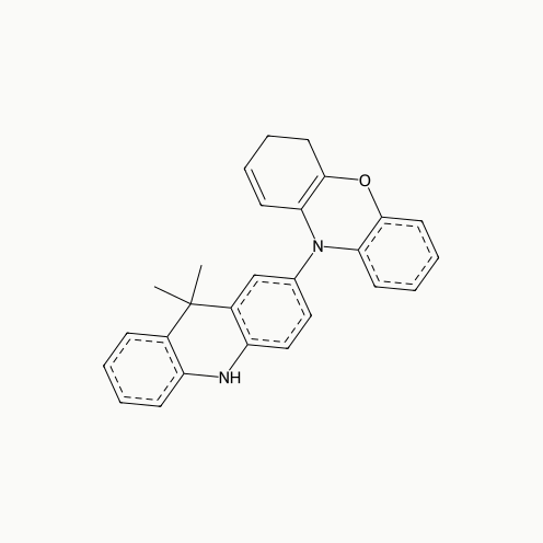 CC1(C)c2ccccc2Nc2ccc(N3C4=C(CCC=C4)Oc4ccccc43)cc21